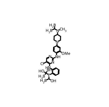 BC(B)N(C)C1CCN(c2ccc(Nc3ncc(Cl)c(Nc4ccccc4P(C(B)O)C(B)(B)O)n3)c(OC)c2)CC1